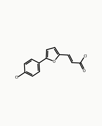 O=C(Cl)C=Cc1ccc(-c2ccc(Cl)cc2)o1